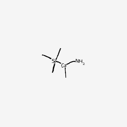 [CH3][Ga]([NH2])[Si](C)(C)C